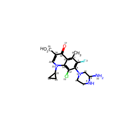 Cc1c(F)c(N2CCNC(N)C2)c(Cl)c2c1c(=O)c(C(=O)O)cn2C1CC1